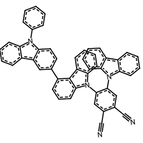 N#Cc1cc(-n2c3ccccc3c3ccccc32)c(-n2c3ccccc3c3c(-c4ccc5c(c4)c4ccccc4n5-c4ccccc4)cccc32)cc1C#N